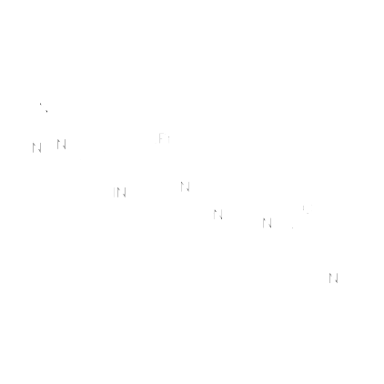 Cc1c(-c2[nH]c3ccc(N4CCN(C(=O)CCN(C)C)[C@@H](C)C4)nc3c2C(C)C)cn2ncnc2c1C